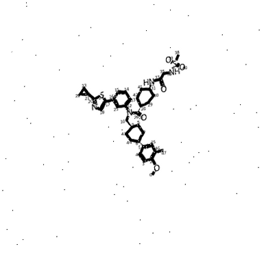 COc1ccc([C@H]2CC[C@H](CN(c3cccc(-c4cnc(C5CC5)s4)c3)C(=O)[C@H]3CC[C@H](NC(=O)CNS(C)(=O)=O)CC3)CC2)cc1C